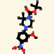 COc1cc([N+](=O)[O-])ccc1N1CCN(C(=O)OC(C)(C)C)C(C)(C)C1